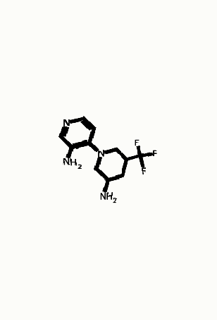 Nc1cnccc1N1CC(N)CC(C(F)(F)F)C1